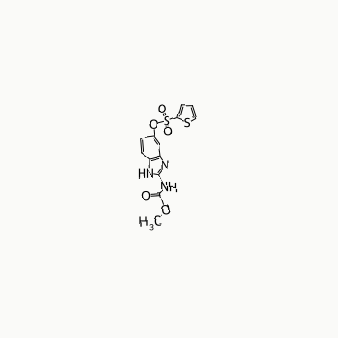 COC(=O)Nc1nc2cc(OS(=O)(=O)c3cccs3)ccc2[nH]1